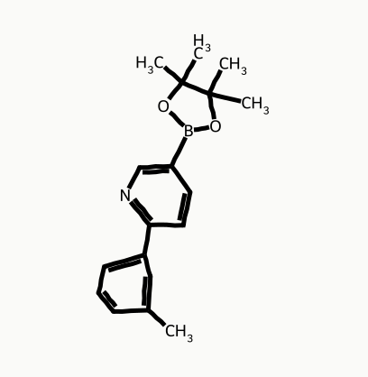 Cc1cccc(-c2ccc(B3OC(C)(C)C(C)(C)O3)cn2)c1